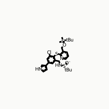 CC(C)(C)[S+]([O-])NCc1cc(-c2cc[nH]c2)cc(Cl)c1Sc1ncccc1CO[Si](C)(C)C(C)(C)C